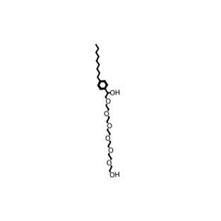 CCCCCCCCCc1ccc(C(O)COCCOCCOCCOCCOCCOCCO)cc1